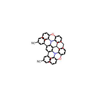 N#Cc1cccc(-c2cc(-c3cccc(C#N)c3)c(N3c4ccccc4Oc4ccccc43)c(C3CCCCC3)c2N2c3ccccc3Oc3ccccc32)c1